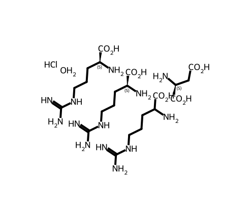 Cl.N=C(N)NCCCC(N)C(=O)O.N=C(N)NCCC[C@H](N)C(=O)O.N=C(N)NCCC[C@H](N)C(=O)O.N[C@@H](CC(=O)O)C(=O)O.O